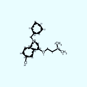 CN(C)CCOc1cn(Cc2ccccc2)c2ccc(Cl)cc12